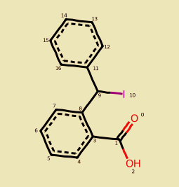 O=C(O)c1ccccc1C(I)c1ccccc1